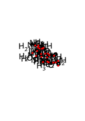 CC[C@H](C)[C@H](NC(=O)[C@H](Cc1c[nH]c2ccccc12)NC(=O)[C@H](C)NC(=O)[C@H](C)NC(=O)[C@@H](N)Cc1c[nH]c2ccccc12)C(=O)NCC(=O)N[C@@H](CC(C)C)C(=O)N[C@@H](CCCNC(=N)N)C(=O)N[C@@H](CCCCN)C(=O)N[C@@H](CCCCN)C(=O)N[C@@H](CCCNC(=N)N)C(=O)O